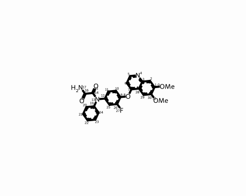 COc1cc2nccc(Oc3ccc(N(C(=O)C(N)=O)c4ccccc4)cc3F)c2cc1OC